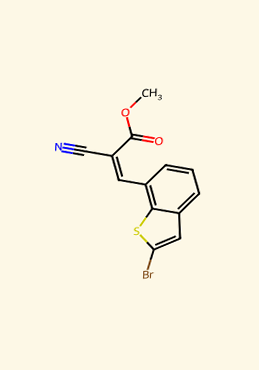 COC(=O)C(C#N)=Cc1cccc2cc(Br)sc12